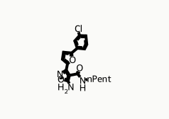 CCCCCNC(=O)c1c(-c2ccc(-c3cccc(Cl)c3)o2)noc1N